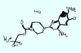 CCC(C)(O)COC(=O)N1CCN(c2nc(N)c3cc(Cl)c(OC)cc3n2)CC1.Cl